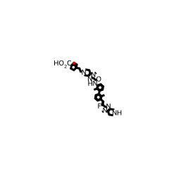 Cc1c(/C=C(\F)c2nc3c(n2C)CCNC3)cccc1-c1cccc(NC(=O)c2nc3c(n2C)CCN(CCC24CCC(C(=O)O)(CC2)C4)C3)c1C